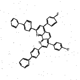 Fc1ccc(-c2cc(-c3ccc(-c4ccccc4)cc3)nc3c2ccc2c(-c4ccc(F)cc4)cc(-c4ccc(-c5ccccc5)cc4)nc23)cc1